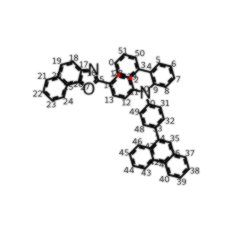 c1ccc(-c2ccccc2N(c2ccc(-c3nc4ccc5ccccc5c4o3)cc2)c2ccc(-c3cc4ccccc4c4ccccc34)cc2)cc1